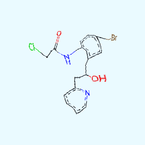 O=C(CCl)Nc1ccc(Br)cc1C(O)Cc1ccccn1